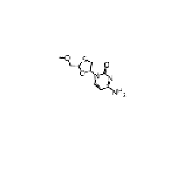 COC[C@@H]1OC(n2ccc(N)nc2=O)CS1